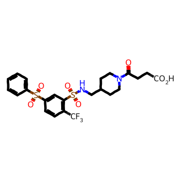 O=C(O)CCC(=O)N1CCC(CNS(=O)(=O)c2cc(S(=O)(=O)c3ccccc3)ccc2C(F)(F)F)CC1